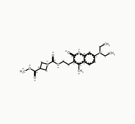 CCN(CC)c1ccc2c(C)c(CCOC(=O)N3CC(C(=O)OC)C3)c(=O)oc2c1